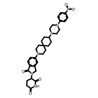 O=C1CCC(N2Cc3cc(N4CCC5(CCC(N6CCN(c7ccc([N+](=O)[O-])cc7)CC6)CC5)CC4)ccc3C2=O)C(=O)N1